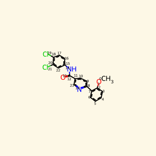 COc1ccccc1-c1ccc(C(=O)Nc2ccc(Cl)c(Cl)c2)cn1